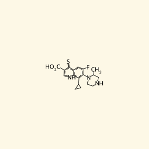 CC1CNCCN1c1c(F)cc2c(=S)c(C(=O)O)c[nH]c2c1C1CC1